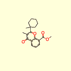 COC(=O)c1cccc2c(=O)c(C)c(C3(C)CCCCC3)oc12